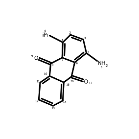 CC(C)c1ccc(N)c2c1C(=O)c1ccccc1C2=O